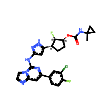 CC1(NC(=O)O[C@@H]2CC[C@H](c3cc(Nc4nc(-c5ccc(F)c(Cl)c5)cc5nccn45)n[nH]3)[C@@H]2F)CC1